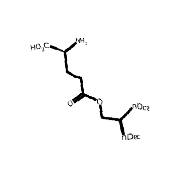 CCCCCCCCCCC(CCCCCCCC)COC(=O)CC[C@H](N)C(=O)O